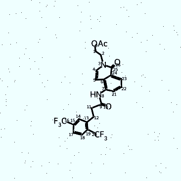 CC(=O)OCCn1ccc2c(NC(=O)CCc3cc(C(F)(F)F)ccc3C(F)(F)F)cccc2c1=O